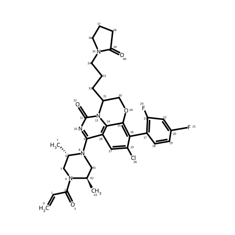 C=CC(=O)N1C[C@H](C)N(c2nc(=O)n3c4c(c(-c5ccc(F)cc5F)c(Cl)cc24)OCC3CCCN2CCCC2=O)C[C@H]1C